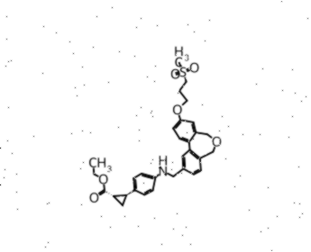 CCOC(=O)[C@H]1C[C@@H]1c1ccc(NCc2ccc3c(c2)-c2ccc(OCCCS(C)(=O)=O)cc2COC3)cc1